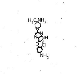 CC1(N)CCN(c2cnc3c(Oc4ccc(N)cc4Cl)n[nH]c3n2)CC1